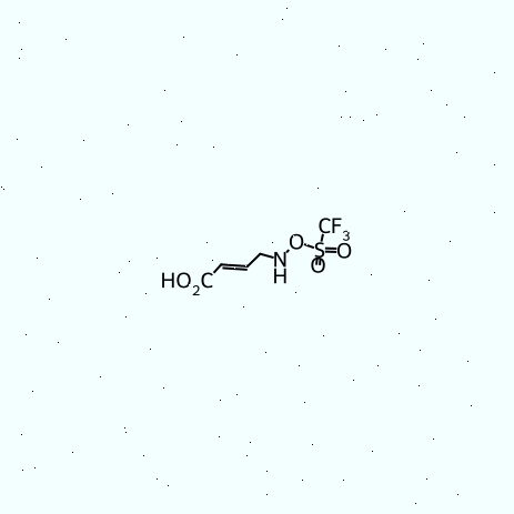 O=C(O)C=CCNOS(=O)(=O)C(F)(F)F